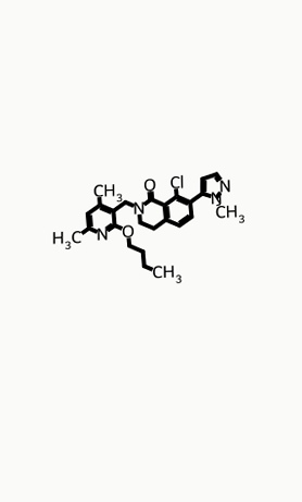 CCCCOc1nc(C)cc(C)c1CN1CCc2ccc(-c3ccnn3C)c(Cl)c2C1=O